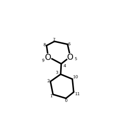 C1CCC(C2OCCCO2)CC1